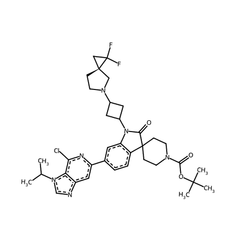 CC(C)n1cnc2cc(-c3ccc4c(c3)N(C3CC(N5CC[C@@]6(C5)CC6(F)F)C3)C(=O)C43CCN(C(=O)OC(C)(C)C)CC3)nc(Cl)c21